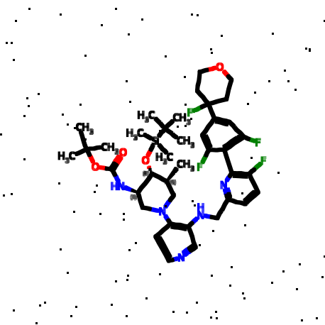 C[C@H]1CN(c2ccncc2NCc2ccc(F)c(-c3c(F)cc(C4(F)CCOCC4)cc3F)n2)C[C@@H](NC(=O)OC(C)(C)C)[C@@H]1O[Si](C)(C)C(C)(C)C